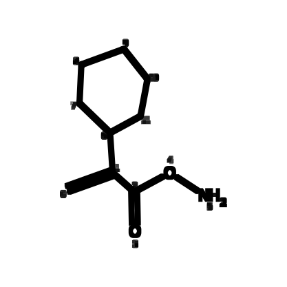 C=C(C(=O)ON)C1CCCCC1